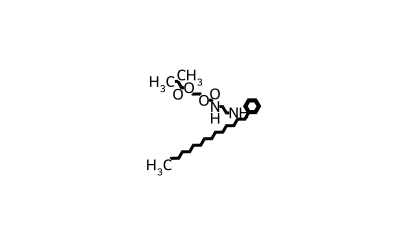 CCCCCCCCCCCCCC(Cc1ccccc1)NCCNC(=O)OCCOC(=O)C(C)C